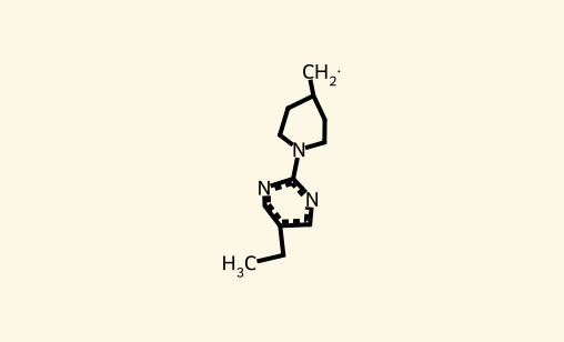 [CH2]C1CCN(c2ncc(CC)cn2)CC1